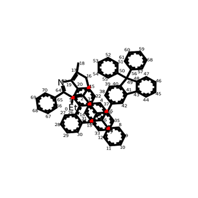 CCC1=C(\c2ccc(-c3ccccc3)cc2)CC/C(C)=C(c2ccc3c(c2)c2ccccc2c2cccc(-c4ccc5c(c4)-c4ccccc4C5(c4ccccc4)c4ccccc4)c23)/N=C\1c1ccccc1